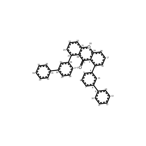 O=c1c2c(-c3cccc(-c4ccccc4)c3)cccc2oc2cccc(-c3cccc(-c4ccccc4)c3)c12